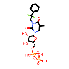 Cc1cn([C@@H]2O[C@H](COP(=O)(O)OP(=O)(O)O)[C@H](O)[C@@H]2O)c(=O)n(CC(F)(F)c2ccccc2)c1=O